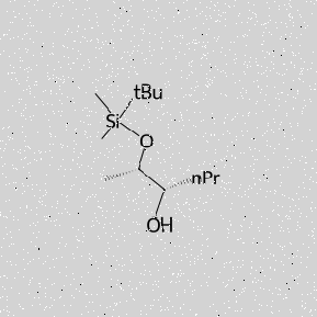 CCC[C@H](O)[C@H](C)O[Si](C)(C)C(C)(C)C